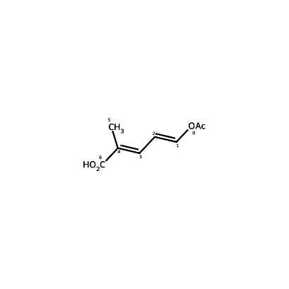 CC(=O)OC=CC=C(C)C(=O)O